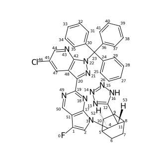 Fc1cn([C@@H]2C3CCC(CC3)[C@H]2c2nnn[nH]2)c2nc(-c3nn(C(c4ccccc4)(c4ccccc4)c4ccccc4)c4ncc(Cl)cc34)ncc12